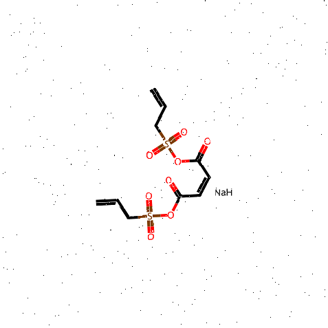 C=CCS(=O)(=O)OC(=O)/C=C\C(=O)OS(=O)(=O)CC=C.[NaH]